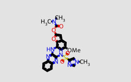 COc1cc(Nc2nc3ccccc3nc2NS(=O)(=O)c2cn(C)cn2)c2oc(OC(=O)N(C)C)cc2c1